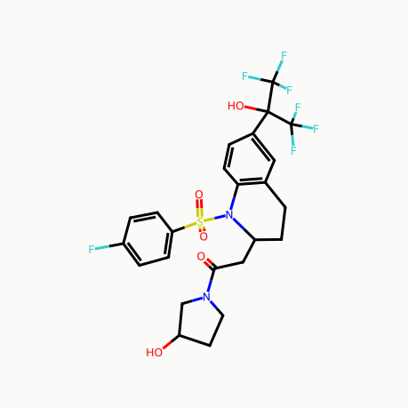 O=C(CC1CCc2cc(C(O)(C(F)(F)F)C(F)(F)F)ccc2N1S(=O)(=O)c1ccc(F)cc1)N1CCC(O)C1